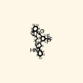 O=C(c1cccc(C(F)(F)F)c1)N1c2ccccc2OCC1CCN1CCc2c([nH]c3ccccc23)C1